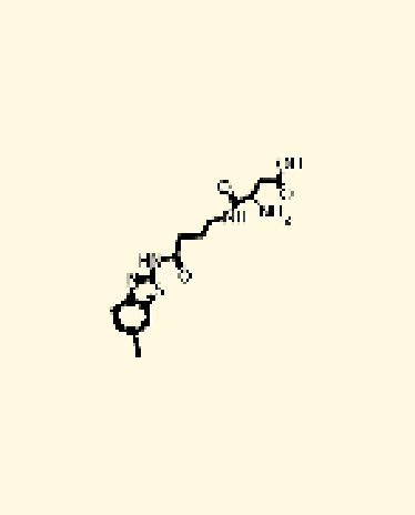 Cc1ccc2nc(NC(=O)CCCNC(=O)[C@@H](N)CC(=O)O)sc2c1